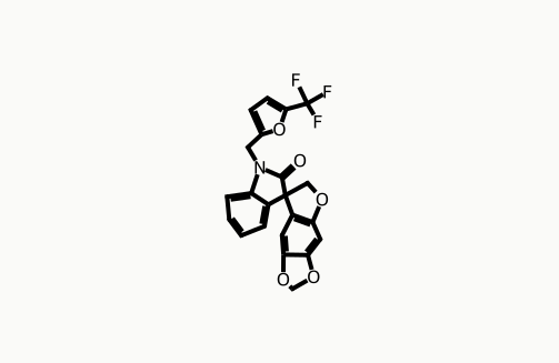 O=C1N(Cc2ccc(C(F)(F)F)o2)c2ccccc2C12COc1cc3c(cc12)OCO3